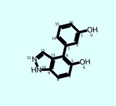 Oc1[c]c(-c2c(O)ccc3[nH]ncc23)ccc1